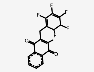 CC1=C(CC2=C(F)C(F)=C(F)C(F)C2F)C(=O)c2ccccc2C1=O